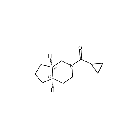 O=C(C1CC1)N1CC[C@H]2CCC[C@H]2C1